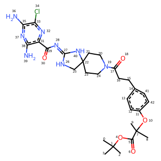 CC(C)(C)OC(=O)C(C)(C)Oc1ccc(CCC(=O)N2CCC3(CC2)CN/C(=N\C(=O)c2nc(Cl)c(N)nc2N)N3)cc1